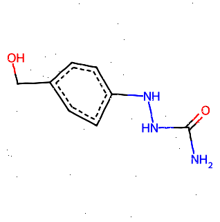 NC(=O)NNc1ccc(CO)cc1